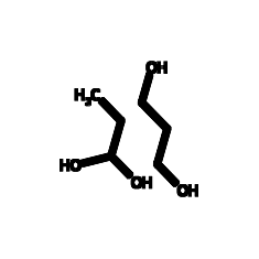 CCC(O)O.OCCCO